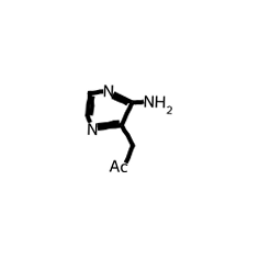 CC(=O)Cc1nccnc1N